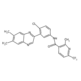 Cc1cc2ncc(-c3cc(NC(=O)c4ccc(C(F)(F)F)nc4C)ccc3Cl)nc2cc1C